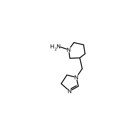 NN1CCCC(CN2C=NCC2)C1